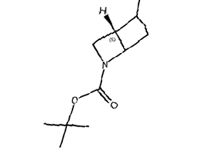 CC(C)(C)OC(=O)N1C[C@@H]2C(I)CC21